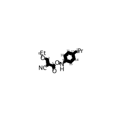 CCOC=C(C#N)C(=O)ONc1ccc(C(C)C)cc1